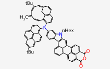 C=C1/C=C\c2c(N(c3ccc4c5c6cccc7c8ccc9c%10c(ccc(c(cc5n(CCCCCC)c4c3)c76)c%108)C(=O)OC9=O)c3ccc4ccc5cc(C(C)(C)C)cc6ccc3c4c56)ccc3c2C/C(=C\C(C(C)(C)C)=C/1)C=C3